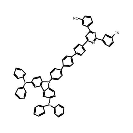 N#Cc1cccc(-c2cc(-c3ccc(-c4ccc(-c5ccc(-n6c7ccc(N(c8ccccc8)c8ccccc8)cc7c7cc(N(c8ccccc8)c8ccccc8)ccc76)cc5)cc4)cc3)nc(-c3cccc(C#N)c3)n2)c1